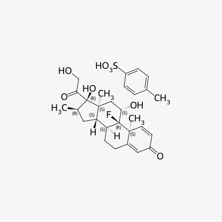 C[C@@H]1C[C@H]2[C@@H]3CCC4=CC(=O)C=C[C@]4(C)[C@@]3(F)[C@@H](O)C[C@]2(C)[C@@]1(O)C(=O)CO.Cc1ccc(S(=O)(=O)O)cc1